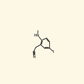 CNc1ccc(I)cc1CC#N